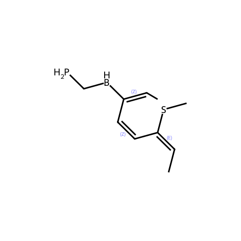 C\C=C(BCP)/C=C\C(=C/C)SC